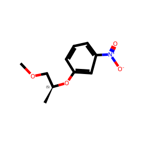 COC[C@H](C)Oc1cccc([N+](=O)[O-])c1